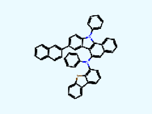 c1ccc(N(c2cccc3c2sc2ccccc23)c2cc3ccccc3c3c2c2cc(-c4ccc5ccccc5c4)ccc2n3-c2ccccc2)cc1